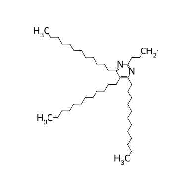 [CH2]CCc1nc(CCCCCCCCCCCC)c(CCCCCCCCCCCC)c(CCCCCCCCCCCC)n1